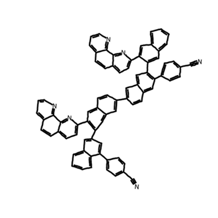 N#Cc1ccc(-c2cc3ccc(-c4ccc5cc(-c6ccc7ccc8cccnc8c7n6)c(-c6cc(-c7ccc(C#N)cc7)c7ccccc7c6)cc5c4)cc3cc2-c2cc3ccccc3cc2-c2ccc3ccc4cccnc4c3n2)cc1